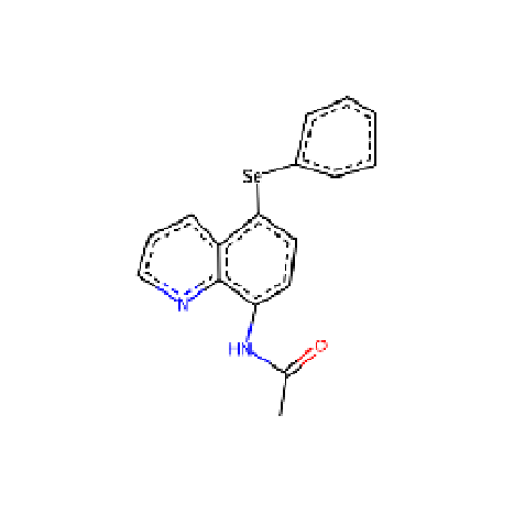 CC(=O)Nc1ccc([Se]c2ccccc2)c2cccnc12